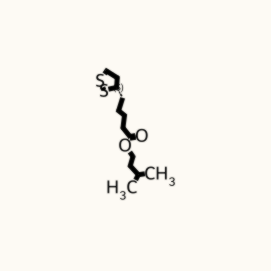 CC(C)CCOC(=O)CCCC[C@H]1CCSS1